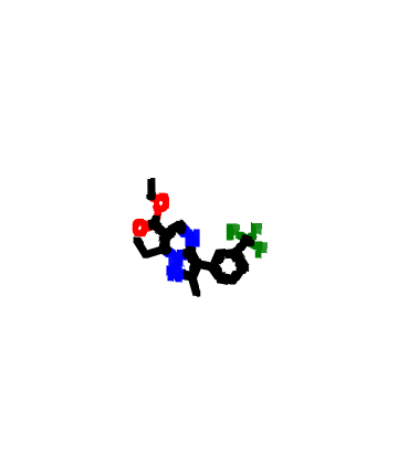 CCOC(=O)c1cnc2c(-c3cccc(C(F)(F)F)c3)c(C)nn2c1CC